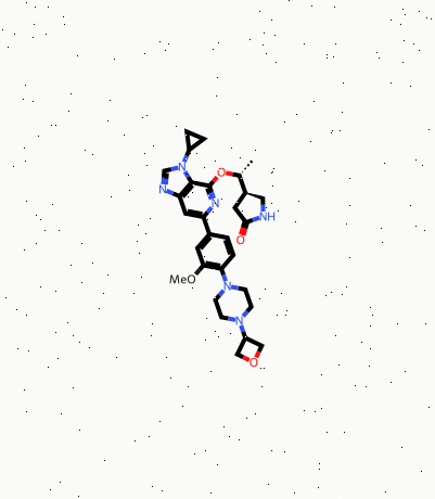 COc1cc(-c2cc3ncn(C4CC4)c3c(O[C@H](C)[C@H]3CNC(=O)C3)n2)ccc1N1CCN(C2COC2)CC1